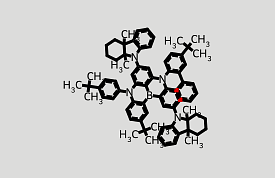 CC(C)(C)c1ccc(N2c3ccc(C(C)(C)C)cc3B3c4cc(N5c6ccccc6C6(C)CCCCC56C)ccc4N(c4ccc(C(C)(C)C)cc4-c4ccccc4)c4cc(N5c6ccccc6C6(C)CCCCC56C)cc2c43)cc1